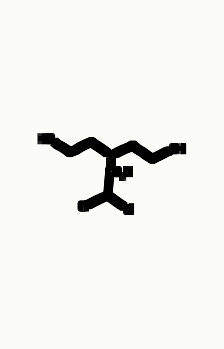 O=C(O)C(Cl)Cl.OCCNCCO